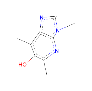 Cc1nc2c(n[c]n2C)c(C)c1O